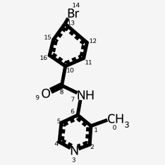 Cc1cnccc1NC(=O)c1ccc(Br)cc1